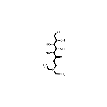 CCN(CC)CCC(=O)[C@H](O)[C@@H](O)[C@H](O)[C@H](O)CO